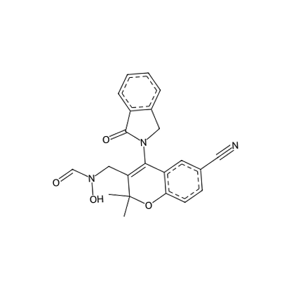 CC1(C)Oc2ccc(C#N)cc2C(N2Cc3ccccc3C2=O)=C1CN(O)C=O